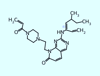 C=CC(=O)N1CCN(CCn2c(=O)ccc3cnc(N/C(C=C)=C/C(C)CC)nc32)CC1